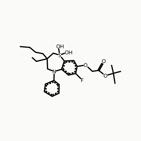 CCCCC1(CC)CN(c2ccccc2)c2cc(F)c(OCC(=O)OC(C)(C)C)cc2S(O)(O)C1